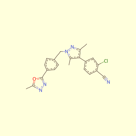 Cc1nnc(-c2ccc(Cn3nc(C)c(-c4ccc(C#N)c(Cl)c4)c3C)cc2)o1